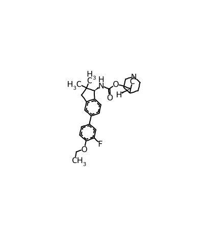 CCOc1ccc(-c2ccc3c(c2)CC(C)(C)[C@H]3NC(=O)O[C@@H]2CN3CCC2CC3)cc1F